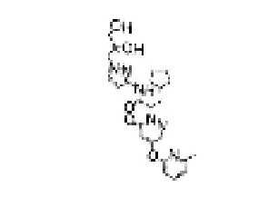 Cc1cccc(Oc2cnn(C(CC3CCCC3)C(=O)Nc3ccn(C[C@@H](O)CO)n3)c(=O)c2)n1